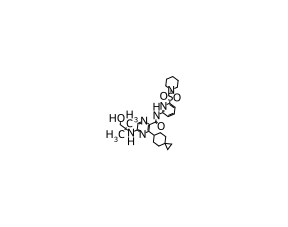 CC(C)(CO)Nc1cnc(C(=O)Nc2cccc(S(=O)(=O)N3CCCCC3)n2)c(C2CCC3(CC2)CC3)n1